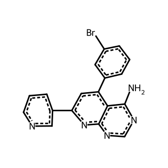 Nc1ncnc2nc(-c3cccnc3)cc(-c3cccc(Br)c3)c12